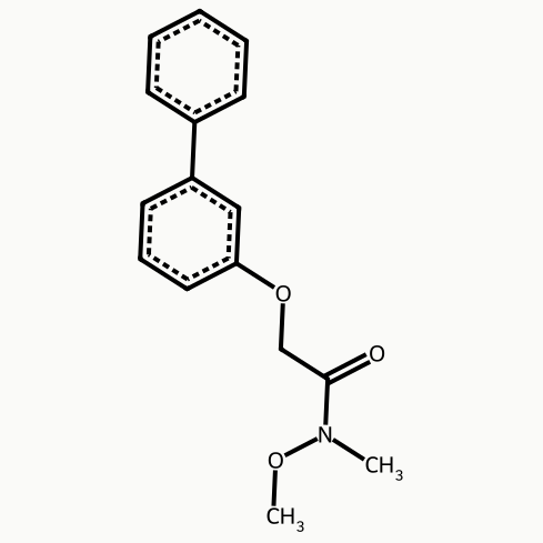 CON(C)C(=O)COc1cccc(-c2ccccc2)c1